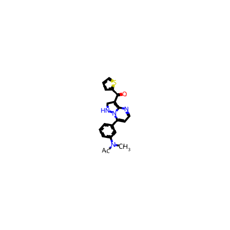 CC(=O)N(C)c1cccc(C2=CC=NC3=C(C(=O)c4cccs4)CNN23)c1